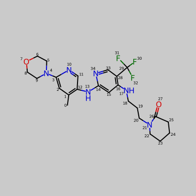 Cc1cc(N2CCOCC2)ncc1Nc1cc(NCCCN2CCCCC2=O)c(C(F)(F)F)cn1